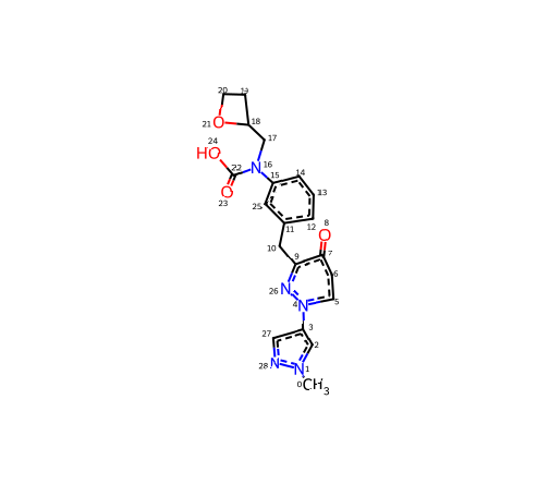 Cn1cc(-n2ccc(=O)c(Cc3cccc(N(CC4CCO4)C(=O)O)c3)n2)cn1